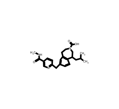 CNC(=O)c1ccc(Cc2ccc3c(c2)CCN(C(=O)O)CC3CC(C)C)nc1